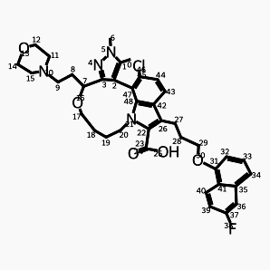 Cc1c2c(nn1C)C(CCN1CCOCC1)OCCCCn1c(C(=O)O)c(CCCOc3cccc4cc(F)ccc34)c3ccc(Cl)c-2c31